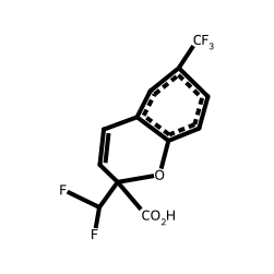 O=C(O)C1(C(F)F)C=Cc2cc(C(F)(F)F)ccc2O1